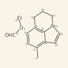 CCOC=O.Cc1ccc2c3c1ccn3CCC2